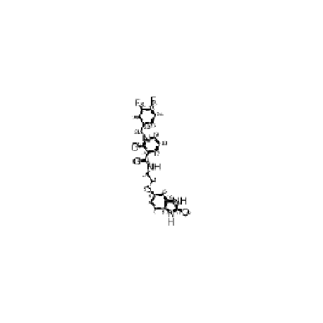 O=C(NCCSc1ccc2[nH]c(=O)[nH]c2c1)c1cccn(Cc2ccc(F)c(F)c2)c1=O